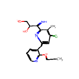 CCOc1ncccc1-c1cc(Cl)c(C)c(C(=N)C(O)CO)n1